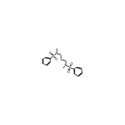 CN(SSSN(C)S(=O)(=O)c1ccccc1)S(=O)(=O)c1ccccc1